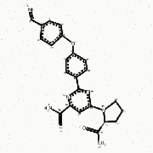 N=Cc1ccc(Oc2ccc(-c3nc(C(N)=O)cc(N4CCC[C@H]4C(N)=O)n3)cc2)cc1